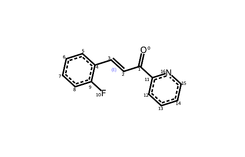 O=C(/C=C/c1ccccc1F)c1ccccn1